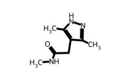 CNC(=O)Cc1c(C)n[nH]c1C